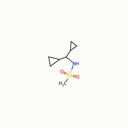 CS(=O)(=O)NC(C1CC1)C1CC1